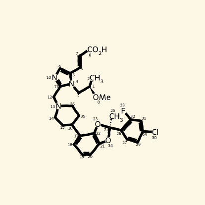 CO[C@H](C)Cn1c(C=CC(=O)O)cnc1CN1CCC(c2cccc3c2O[C@@](C)(c2ccc(Cl)cc2F)O3)CC1